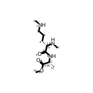 CNCCC[C@H](NC)C(=O)N[C@H](C)C(=O)OC